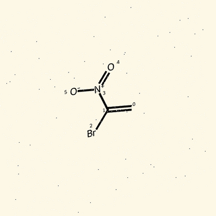 C=C(Br)[N+](=O)[O-]